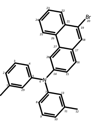 Cc1cccc(N(c2cccc(C)c2)c2ccc3cc(Br)c4ccccc4c3c2)c1